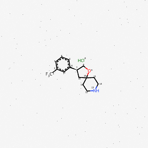 Cl.FC(F)(F)c1cccc([C@H]2COC3(CCNCC3)C2)c1